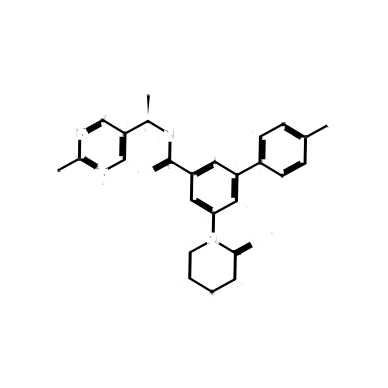 Cc1ccc(-c2cc(C(=O)N[C@H](C)c3cnc(C)nc3)cc(N3CCCCC3=O)c2)cc1